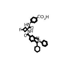 O=C(O)c1ccc(NC(=O)C2(NC(=O)c3ccc4c(C5CCCCC5)n(-c5ccccc5)nc4c3)CC(F)C2)cc1